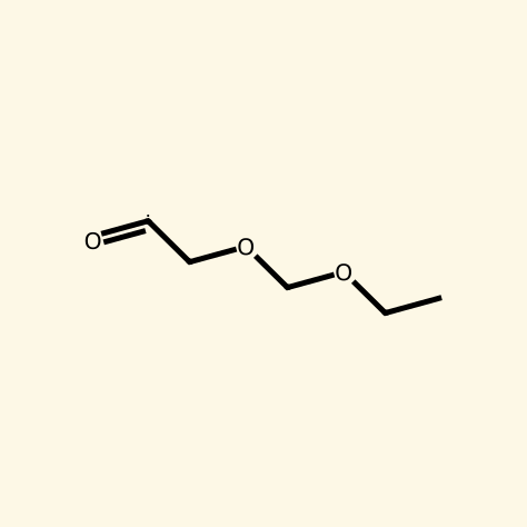 CCOCOC[C]=O